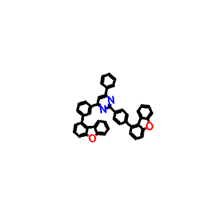 c1ccc(-c2cc(-c3cccc(-c4cccc5oc6ccccc6c45)c3)nc(-c3ccc(-c4cccc5oc6ccccc6c45)cc3)n2)cc1